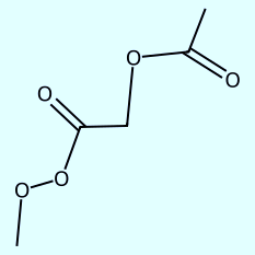 COOC(=O)COC(C)=O